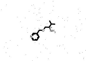 CC(C)[C@@H](N)COCc1cccnc1